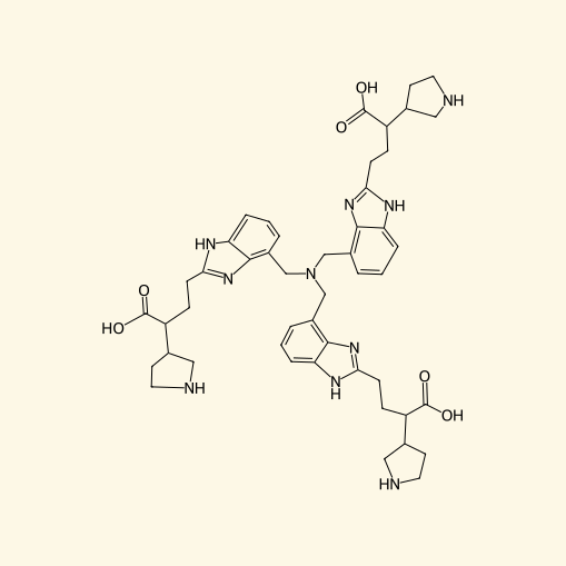 O=C(O)C(CCc1nc2c(CN(Cc3cccc4[nH]c(CCC(C(=O)O)C5CCNC5)nc34)Cc3cccc4[nH]c(CCC(C(=O)O)C5CCNC5)nc34)cccc2[nH]1)C1CCNC1